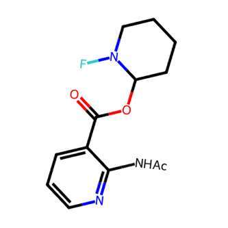 CC(=O)Nc1ncccc1C(=O)OC1CCCCN1F